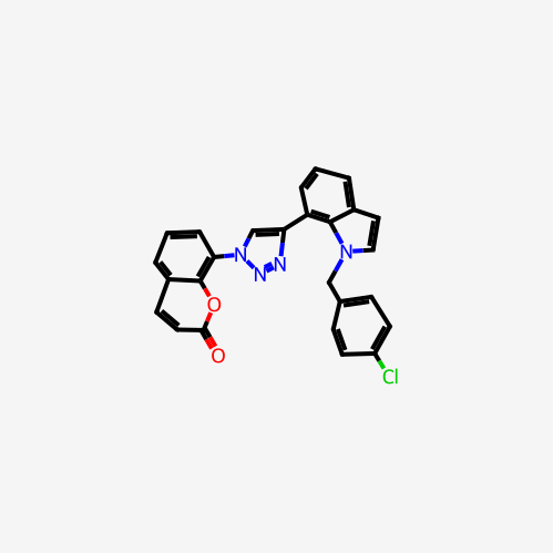 O=c1ccc2cccc(-n3cc(-c4cccc5ccn(Cc6ccc(Cl)cc6)c45)nn3)c2o1